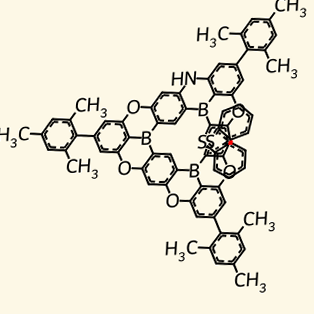 Cc1cc(C)c(-c2cc3c4c(c2)Oc2c(sc5ccccc25)B4c2cc4c(cc2N3)Oc2cc(-c3c(C)cc(C)cc3C)cc3c2B4c2cc4c(cc2O3)Oc2cc(-c3c(C)cc(C)cc3C)cc3c2B4c2sc4ccccc4c2O3)c(C)c1